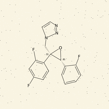 Fc1ccc([C@@]2(Cn3ccnn3)O[C@@H]2c2ccccc2F)c(F)c1